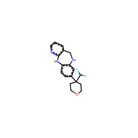 FC(F)C1(c2ccc3c(c2)NCc2cccnc2N3)CCOCC1